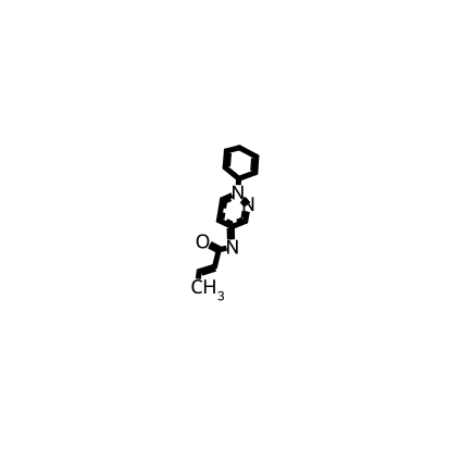 CC=CC(=O)N=c1ccn(C2C=CCC=C2)nc1